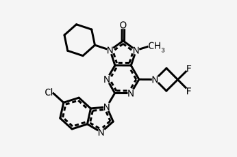 Cn1c(=O)n(C2CCCCC2)c2nc(-n3cnc4ccc(Cl)cc43)nc(N3CC(F)(F)C3)c21